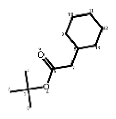 CC(C)(C)OC(=O)CC1CCCCC1